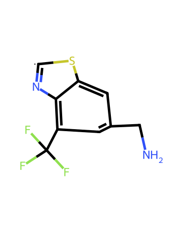 NCc1cc(C(F)(F)F)c2n[c]sc2c1